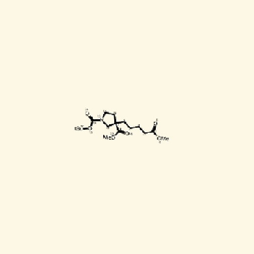 COC(=O)CCCCC1(C(=O)OC)CCN(C(=O)OC(C)(C)C)C1